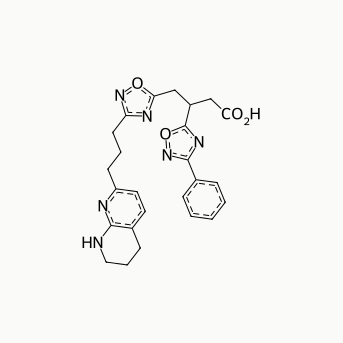 O=C(O)CC(Cc1nc(CCCc2ccc3c(n2)NCCC3)no1)c1nc(-c2ccccc2)no1